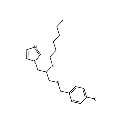 CCCCCCSC(CSCc1ccc(Cl)cc1)Cn1ccnc1